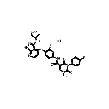 COCC(C)Nc1n[nH]c2nccc(Oc3ccc(NC(=O)c4cn(C(C)C)c(=O)n(-c5ccc(F)cc5)c4=O)cc3F)c12.Cl